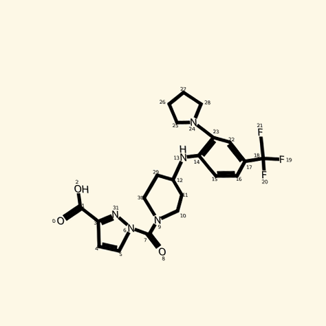 O=C(O)c1ccn(C(=O)N2CCC(Nc3ccc(C(F)(F)F)cc3N3CCCC3)CC2)n1